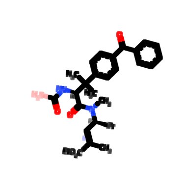 BC(=O)N[C@H](C(=O)N(C)[C@H](/C=C(\C)C(=O)OCC)C(C)C)C(C)(C)c1ccc(C(=O)c2ccccc2)cc1